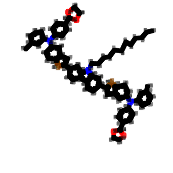 CCCCCCCCCCCCn1c2cc(-c3cc4cc(N(c5ccc(C6OCCO6)cc5)c5cccc(C)c5)ccc4s3)ccc2c2ccc(-c3cc4cc(N(c5ccc(C6OCCO6)cc5)c5cccc(C)c5)ccc4s3)cc21